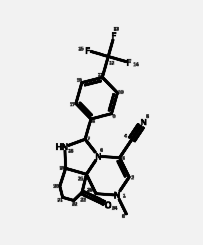 CN1C=C(C#N)N2C(c3ccc(C(F)(F)F)cc3)NC3CCCC(=O)C32C1